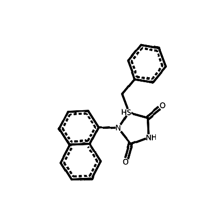 O=C1NC(=O)[SH](Cc2ccccc2)N1c1cccc2ccccc12